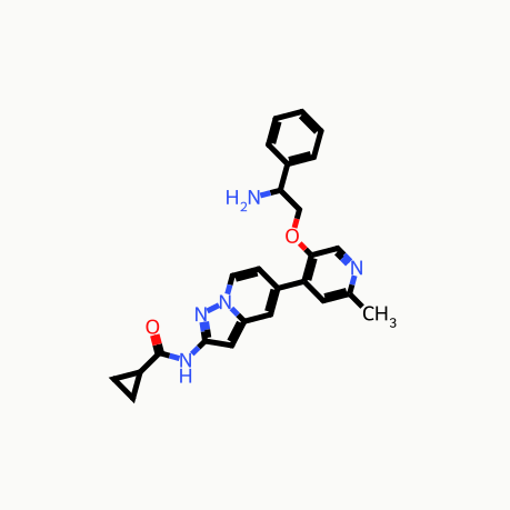 Cc1cc(-c2ccn3nc(NC(=O)C4CC4)cc3c2)c(OCC(N)c2ccccc2)cn1